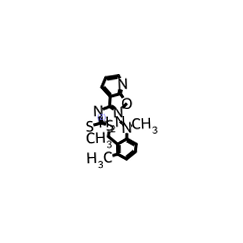 CS/C(=N/c1noc2ncccc12)SCc1c(C)cccc1N(C)N